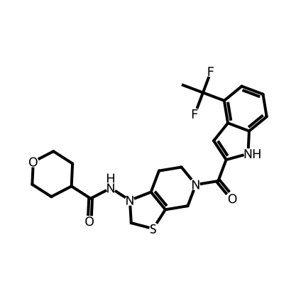 CC(F)(F)c1cccc2[nH]c(C(=O)N3CCC4=C(C3)SCN4NC(=O)C3CCOCC3)cc12